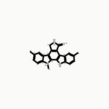 Cc1ccc2[nH]c3c(c4c(c5c6cc(C)ccc6n(C)c35)CNC4=O)c2c1